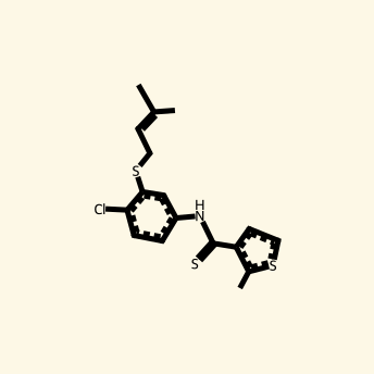 CC(C)=CCSc1cc(NC(=S)c2ccsc2C)ccc1Cl